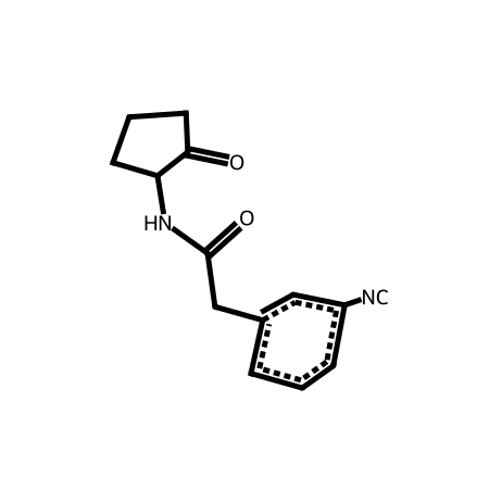 [C-]#[N+]c1cccc(CC(=O)NC2CCCC2=O)c1